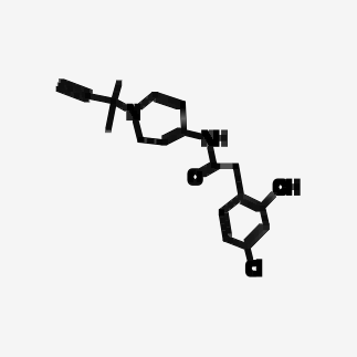 C#CC(C)(C)N1C=CC(NC(=O)Cc2ccc(Cl)cc2O)=CC1